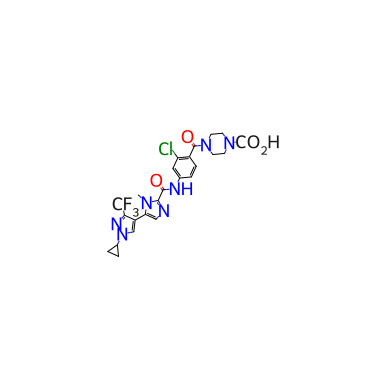 Cn1c(-c2cn(C3CC3)nc2C(F)(F)F)cnc1C(=O)Nc1ccc(C(=O)N2CCN(C(=O)O)CC2)c(Cl)c1